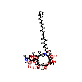 CCC=CCC=CCC=CCC=CCC=CCC=CCCC(=O)N1C[C@H](C)C[C@@](C)(O)[C@H](O[C@@H]2O[C@H](C)C[C@H](N(C)C)[C@H]2O)[C@@H](C)[C@H](O)[C@@H](C)C(=O)O[C@H](CC)[C@@](C)(O)[C@H](O)[C@H]1C